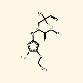 CCOc1cc(N[C@@H](CC(C)(C)C=O)C(=O)OC)nn1C